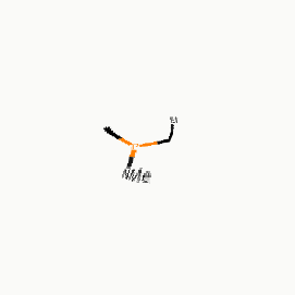 CCCP(C)NC